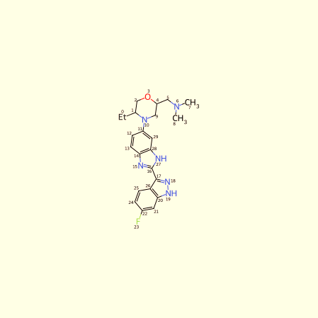 CCC1COC(CN(C)C)CN1c1ccc2nc(-c3n[nH]c4cc(F)ccc34)[nH]c2c1